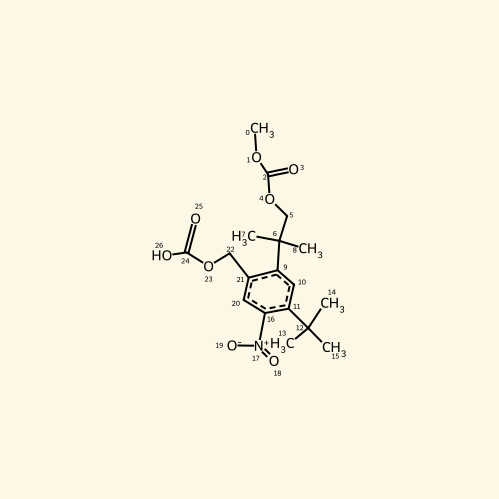 COC(=O)OCC(C)(C)c1cc(C(C)(C)C)c([N+](=O)[O-])cc1COC(=O)O